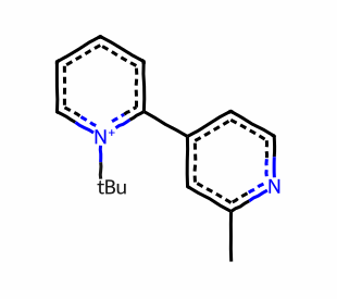 Cc1cc(-c2cccc[n+]2C(C)(C)C)ccn1